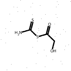 NC(=S)SC(=O)CO